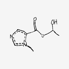 CC(O)OC(=O)c1cncn1C